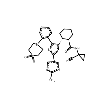 Cc1ncc(-c2nc(-c3ccccc3N3CCS(=O)(=O)CC3)c([C@@H]3CCCC[C@H]3C(=O)NC3(C#N)CC3)o2)cn1